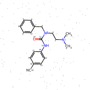 CN(C)CCN(Cc1ccccc1)C(=O)Nc1ccc(C#N)cc1